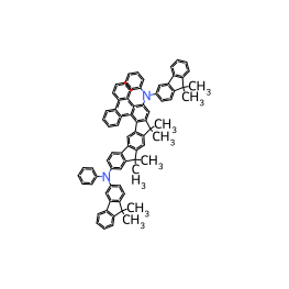 CC1(C)c2ccccc2-c2cc(N(c3ccccc3)c3ccc4c(c3)C(C)(C)c3cc5c(cc3-4)-c3c(cc(N(c4ccccc4)c4ccc6c(c4)-c4ccccc4C6(C)C)c4c6ccccc6c6ccccc6c34)C5(C)C)ccc21